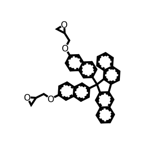 c1ccc2cc3c(cc2c1)-c1ccc2ccccc2c1C3(c1ccc2cc(OCC3CO3)ccc2c1)c1ccc2cc(OCC3CO3)ccc2c1